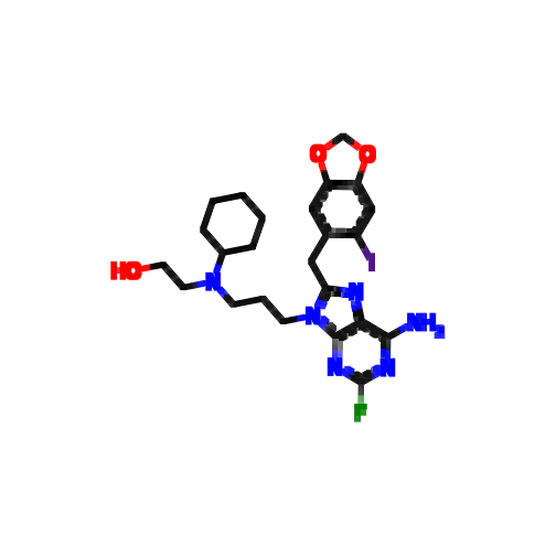 Nc1nc(F)nc2c1nc(Cc1cc3c(cc1I)OCO3)n2CCCN(CCO)C1CCCCC1